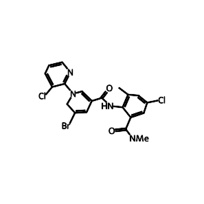 CNC(=O)c1cc(Cl)cc(C)c1NC(=O)C1=CN(c2ncccc2Cl)CC(Br)=C1